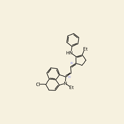 CCC1=C(Nc2ccccc2)/C(=C/C=c2\c3cccc4c3c(n2CC)=CCC4Cl)CC1